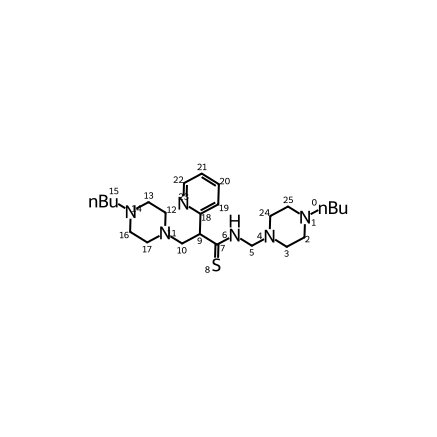 CCCCN1CCN(CNC(=S)C(CN2CCN(CCCC)CC2)c2ccccn2)CC1